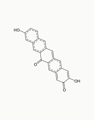 O=C1C=c2cc3c(cc2C=C1O)=Cc1cc2ccc(O)cc2cc1C3=O